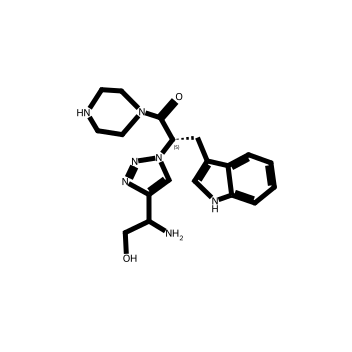 NC(CO)c1cn([C@@H](Cc2c[nH]c3ccccc23)C(=O)N2CCNCC2)nn1